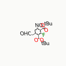 CC(C)(C)OC(=O)c1c(CC=O)cc([N+](=O)[O-])c(C(=O)OC(C)(C)C)c1F